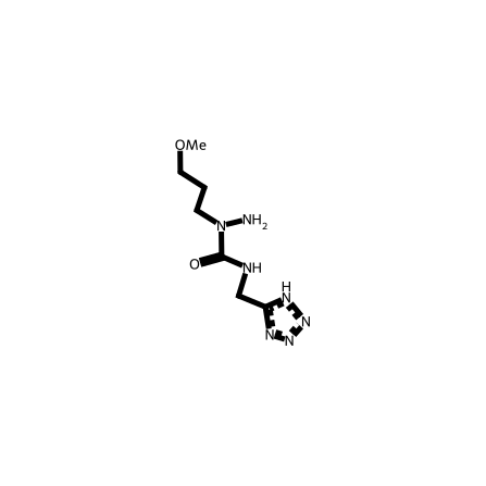 COCCCN(N)C(=O)NCc1nnn[nH]1